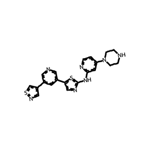 c1cc(N2CCNCC2)cc(Nc2ncc(-c3cncc(-c4cnsc4)c3)s2)n1